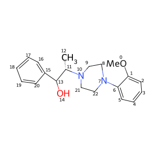 COc1ccccc1N1CCN([C@@H](C)C(O)c2ccccc2)CC1